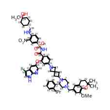 COc1cc(CN2CCN(C3CC4(C3)CN(c3ccc(C(=O)NS(=O)(=O)c5ccc(NC[C@H]6CC[C@](C)(O)CC6)c([N+](=O)[O-])c5)c(Oc5cnc6[nH]cc(F)c6c5)c3)C4)[C@H](c3ccccc3C(C)C)C2)cc2c1OC(C)(C)CC2